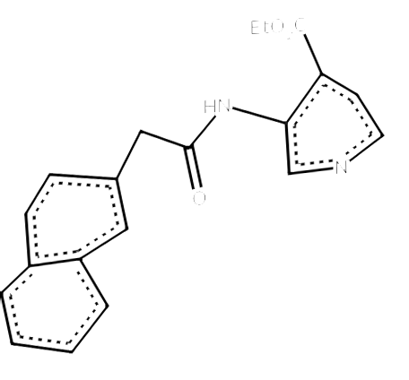 CCOC(=O)c1ccncc1NC(=O)Cc1ccc2ccccc2c1